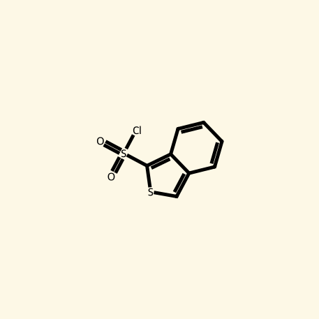 O=S(=O)(Cl)c1scc2ccccc12